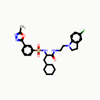 Cc1nnc(-c2cccc(S(=O)(=O)NC(CC3CCCCC3)C(=O)NCCN3CCc4cc(F)ccc43)c2)o1